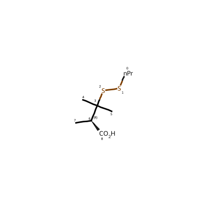 CCCSSC(C)(C)[C@H](C)C(=O)O